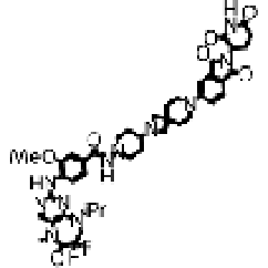 COc1cc(C(=O)NN2CCC(N3CC4(CCN(c5ccc6c(c5)C(=O)N(C5CCC(=O)NC5=O)C6=O)CC4)C3)CC2)ccc1Nc1ncc2c(n1)N(C(C)C)CC(F)(F)C(=O)N2C